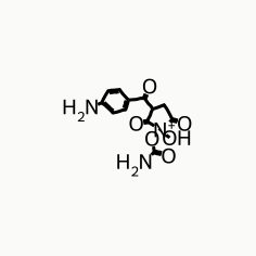 NC(=O)O[N+]1(O)C(=O)CC(C(=O)c2ccc(N)cc2)C1=O